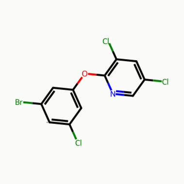 Clc1[c]c(Br)cc(Oc2ncc(Cl)cc2Cl)c1